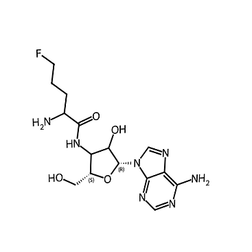 Nc1ncnc2c1ncn2[C@@H]1O[C@H](CO)C(NC(=O)C(N)CCCF)C1O